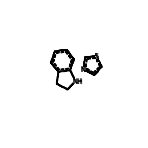 c1ccc2c(c1)CCN2.c1cscn1